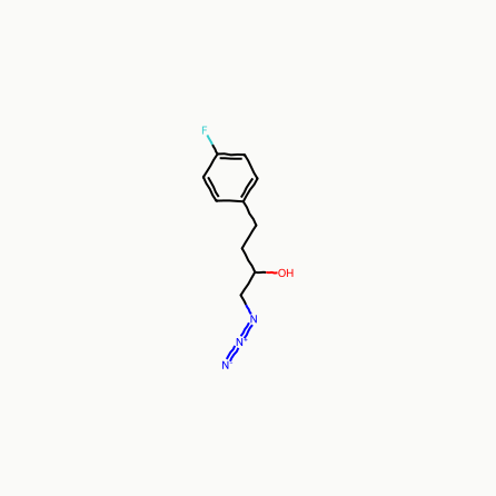 [N-]=[N+]=NCC(O)CCc1ccc(F)cc1